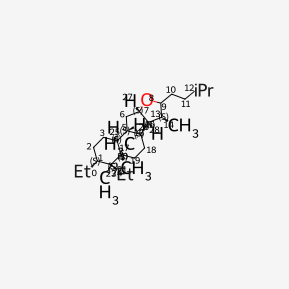 CC[C@H]1CC[C@H]2[C@@H]3C[C@@H]4OC(CCC(C)C)[C@@H](C)[C@@H]4[C@@]3(C)CC[C@]2(C)[C@@]1(C)CC